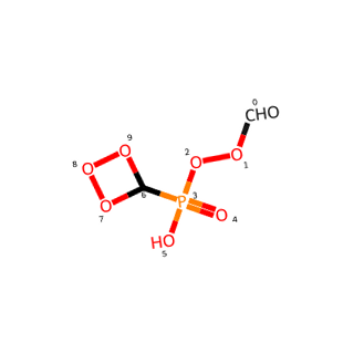 O=COOP(=O)(O)C1OOO1